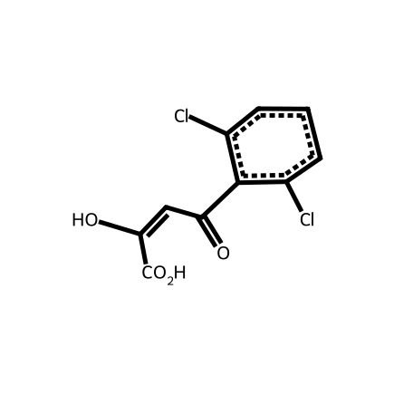 O=C(O)/C(O)=C\C(=O)c1c(Cl)cccc1Cl